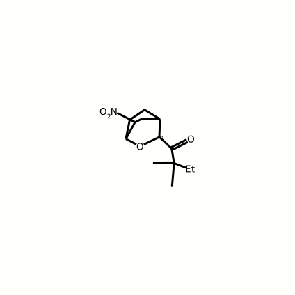 [CH2]CC(C)(C)C(=O)[C]1OC2CCC1CC2[N+](=O)[O-]